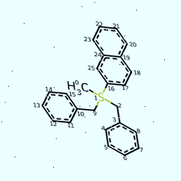 CS(Cc1ccccc1)(Cc1ccccc1)c1ccc2ccccc2c1